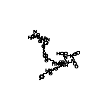 Cc1ccc(CCCC(=O)NCCOCCC(NC(=O)CN2CCN(COC=O)CCN(COC=O)CCN(CC(=O)O)CC2)C(=O)NCCCCCC(=O)N2CCN(CCCCOc3ccc4nccc(C(=O)NCC(=O)N5CC(C)(F)C[C@@H]5C#N)c4c3)CC2)cc1